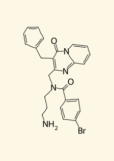 NCCCN(Cc1nc2ccccn2c(=O)c1Cc1ccccc1)C(=O)c1ccc(Br)cc1